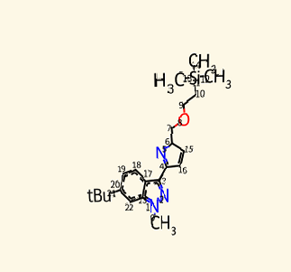 Cn1nc(C2=NC(COCC[Si](C)(C)C)C=C2)c2ccc(C(C)(C)C)cc21